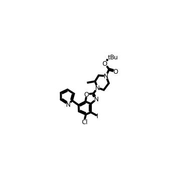 CC1CN(C(=O)OC(C)(C)C)CCN1c1nc2c(I)c(Cl)cc(-c3ccccn3)c2o1